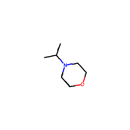 CC(C)N1CCOCC1